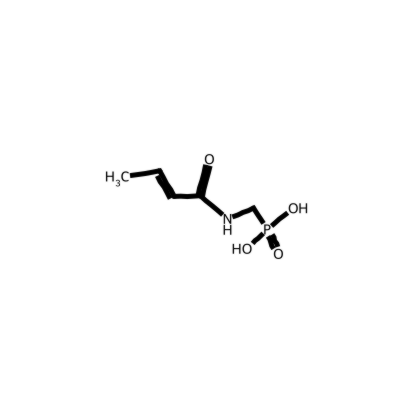 CC=CC(=O)NCP(=O)(O)O